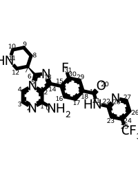 Nc1nccn2c([C@@H]3CCCNC3)nc(-c3ccc(C(=O)Nc4cc(C(F)(F)F)ccn4)cc3F)c12